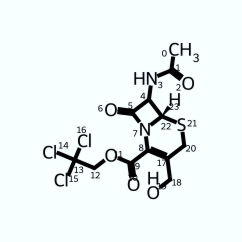 CC(=O)NC1C(=O)N2C(C(=O)OCC(Cl)(Cl)Cl)=C(CO)CS[C@@H]12